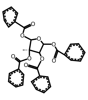 C[C@]1(OC(=O)c2ccccc2)C(OC(=O)c2ccccc2)OC(OC(=O)c2ccccc2)C1OC(=O)c1ccccc1